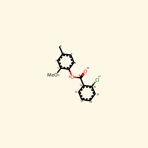 COc1cc(C)ccc1OC(=O)c1ccccc1Cl